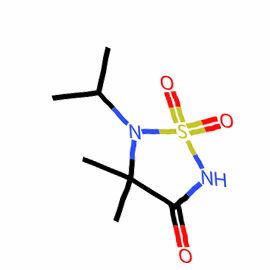 CC(C)N1C(C)(C)C(=O)NS1(=O)=O